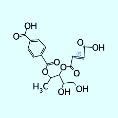 CC(OC(=O)c1ccc(C(=O)O)cc1)C(OC(=O)/C=C/C(=O)O)C(O)CO